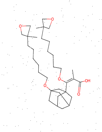 CC(C(=O)O)=C(OCCCCCCC1(C)COC1)C12CC3CC(CC(OCCCCCCC4(C)COC4)(C3)C1)C2